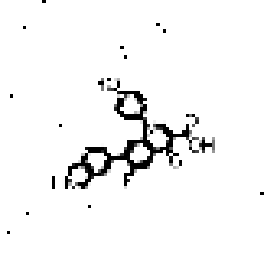 O=C(O)c1cn(-c2ccc(O)cc2)c2cc(-c3ccc4c(c3)CNC4)c(F)cc2c1=O